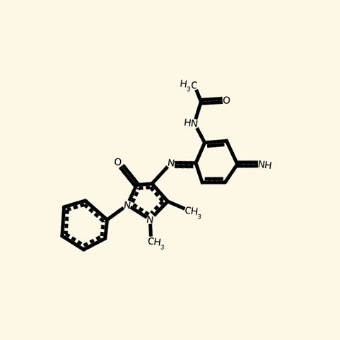 CC(=O)NC1=CC(=N)C=CC1=Nc1c(C)n(C)n(-c2ccccc2)c1=O